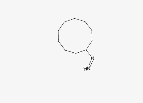 N=NC1CCCCCCCCC1